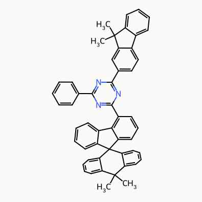 CC1(C)c2ccccc2-c2ccc(-c3nc(-c4ccccc4)nc(-c4cccc5c4-c4ccccc4C54c5ccccc5C(C)(C)c5ccccc54)n3)cc21